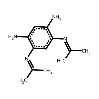 CC(C)=Nc1cc(N=C(C)C)c(N)cc1N